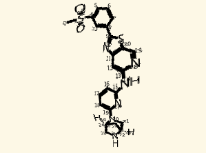 CS(=O)(=O)c1cccc(-c2nc3cc(Nc4cccc(N5C[C@@H]6C[C@H]5CN6)n4)ncc3s2)c1